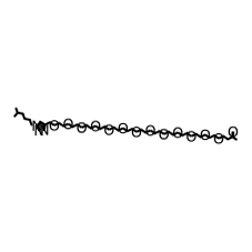 CC(=O)CCOCCOCCOCCOCCOCCOCCOCCOCCOCCOCCOCCOCCOCc1cn(CCCCC(C)C)nn1